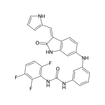 O=C(Nc1cccc(Nc2ccc3c(c2)NC(=O)/C3=C\c2ccc[nH]2)c1)Nc1c(F)ccc(F)c1F